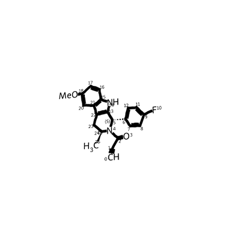 C#CC(=O)N1[C@@H](c2ccc(F)cc2)c2[nH]c3ccc(OC)cc3c2C[C@@H]1C